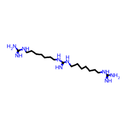 N=C(N)NCCCCCCCNC(=N)NCCCCCCCNC(=N)N